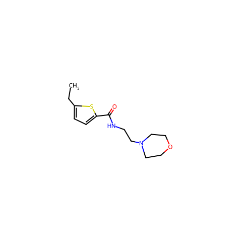 CCc1ccc(C(=O)NCCN2CCOCC2)s1